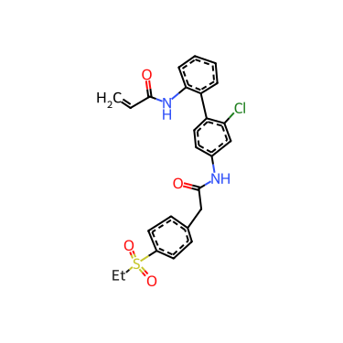 C=CC(=O)Nc1ccccc1-c1ccc(NC(=O)Cc2ccc(S(=O)(=O)CC)cc2)cc1Cl